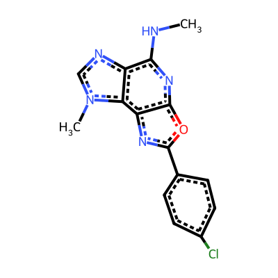 CNc1nc2oc(-c3ccc(Cl)cc3)nc2c2c1ncn2C